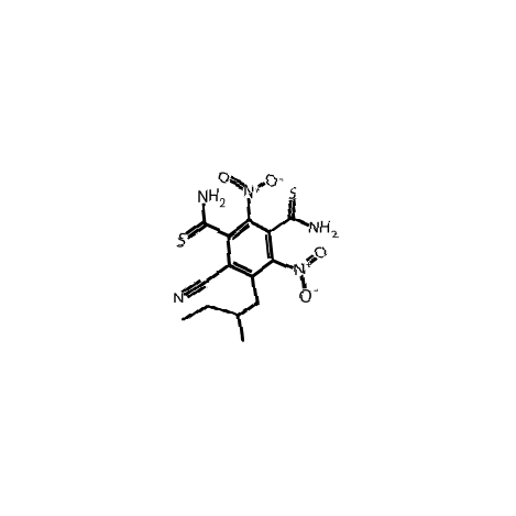 CCC(C)Cc1c(C#N)c(C(N)=S)c([N+](=O)[O-])c(C(N)=S)c1[N+](=O)[O-]